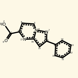 O=C(O)c1ccn2nc(-c3ccccc3)cc2n1